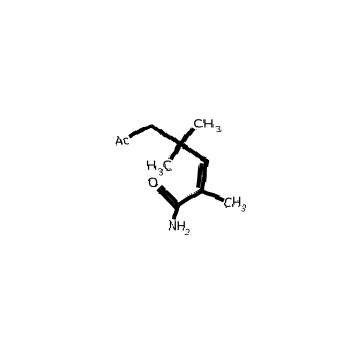 CC(=O)CC(C)(C)C=C(C)C(N)=O